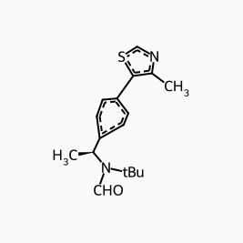 Cc1ncsc1-c1ccc([C@H](C)N(C=O)C(C)(C)C)cc1